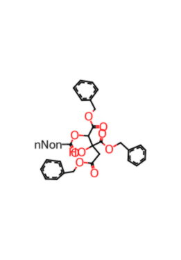 CCCCCCCCCC(=O)OC(C(=O)OCc1ccccc1)C(O)(CC(=O)OCc1ccccc1)C(=O)OCc1ccccc1